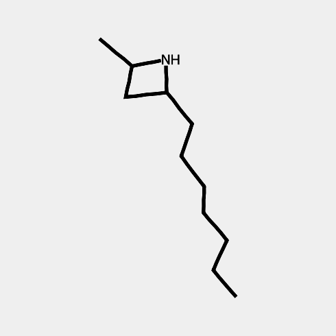 CCCCCCCC1CC(C)N1